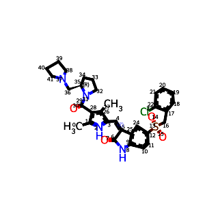 Cc1[nH]c(/C=C2\C(=O)Nc3ccc(S(=O)(=O)Cc4ccccc4Cl)cc32)c(C)c1C(=O)N1CCC[C@@H]1CN1CCCC1